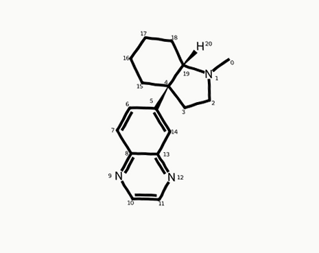 CN1CC[C@]2(c3ccc4nccnc4c3)CCCC[C@H]12